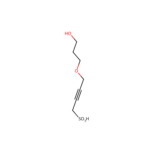 O=S(=O)(O)CC#CCOCCCO